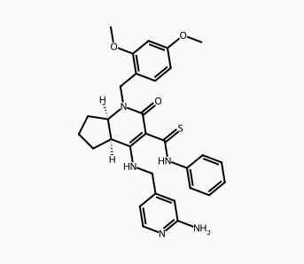 COc1ccc(CN2C(=O)C(C(=S)Nc3ccccc3)=C(NCc3ccnc(N)c3)[C@H]3CCC[C@H]32)c(OC)c1